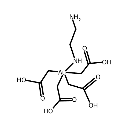 NCC[NH][Au]([CH2]C(=O)O)([CH2]C(=O)O)([CH2]C(=O)O)[CH2]C(=O)O